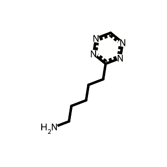 NCCCCCc1nncnn1